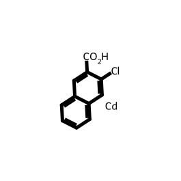 O=C(O)c1cc2ccccc2cc1Cl.[Cd]